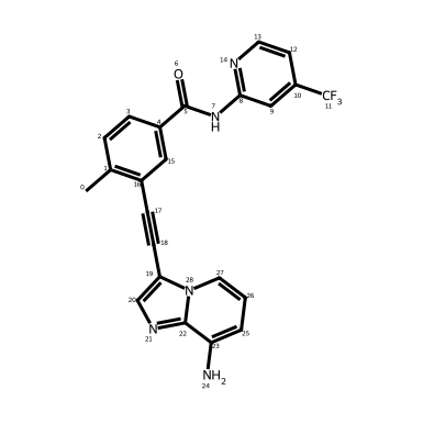 Cc1ccc(C(=O)Nc2cc(C(F)(F)F)ccn2)cc1C#Cc1cnc2c(N)cccn12